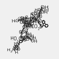 Nc1nc2ncc(CNc3ccc(C(=O)N[C@@H](CCC(=O)OCCSSC[C@H](NC(=O)[C@H](CCCC(=O)NC[C@H](O)[C@@H](O)[C@H](O)[C@H](O)CO)NC(=O)[C@H](CCC(=O)O)NC(=O)[C@H](CCC(=O)NC[C@H](O)[C@@H](O)[C@H](O)[C@H](O)CO)NC(=O)[C@H](CCC(=O)O)NC(=O)[C@H](CCC(=O)NC[C@H](O)[C@@H](O)[C@H](O)[C@H](O)CO)NC(=O)CCSCC4c5ccccc5-c5ccccc54)C(=O)O)C(=O)O)cc3)nc2c(=O)[nH]1